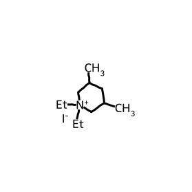 CC[N+]1(CC)CC(C)CC(C)C1.[I-]